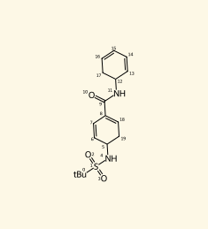 CC(C)(C)S(=O)(=O)NC1C=CC(C(=O)NC2C=CC=CC2)=CC1